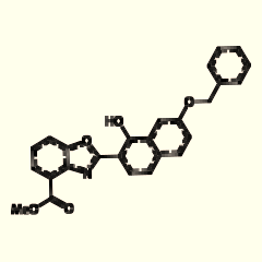 COC(=O)c1cccc2oc(-c3ccc4ccc(OCc5ccccc5)cc4c3O)nc12